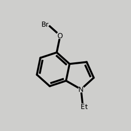 CCn1ccc2c(OBr)cccc21